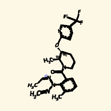 C=NN(/N=C\C)c1c(C)cccc1C(=O)N1CCC[C@@H](Oc2ccc(C(F)(F)F)cn2)[C@@H]1C